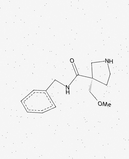 COC[C@@]1(C(=O)NCc2ccccc2)CCNC1